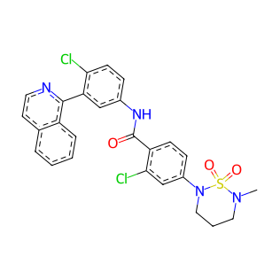 CN1CCCN(c2ccc(C(=O)Nc3ccc(Cl)c(-c4nccc5ccccc45)c3)c(Cl)c2)S1(=O)=O